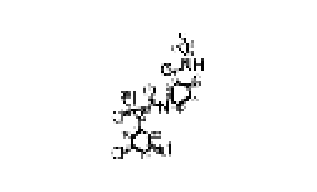 O=C(NC1CSC1)c1cc(NC(=O)[C@@H]2[C@@H](c3cc(Cl)cc(Cl)c3)C2(Cl)Cl)ccc1Cl